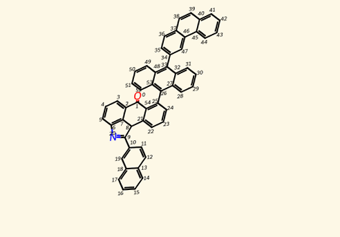 O=C1c2cccc3c2C(C(c2ccc4ccccc4c2)=N3)c2cccc(-c3c4ccccc4c(-c4ccc5ccc6ccccc6c5c4)c4ccccc34)c21